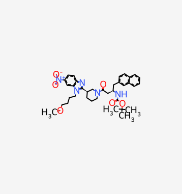 COCCCCn1c([C@@H]2CCCN(C(=O)C[C@@H](Cc3ccc4ccccc4c3)NC(=O)OC(C)(C)C)C2)nc2ccc([N+](=O)[O-])cc21